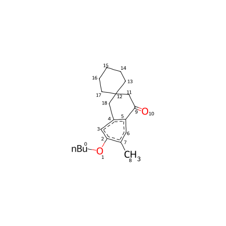 CCCCOc1cc2c(cc1C)C(=O)CC1(CCCCC1)C2